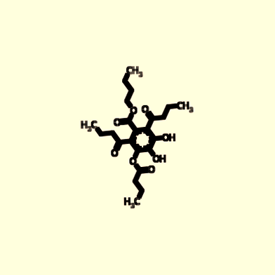 CCCCOC(=O)c1c(C(=O)CCC)c(O)c(O)c(OC(=O)CCC)c1C(=O)CCC